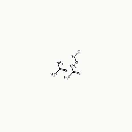 Cl[Te]Cl.NC(N)=S.NC(N)=S